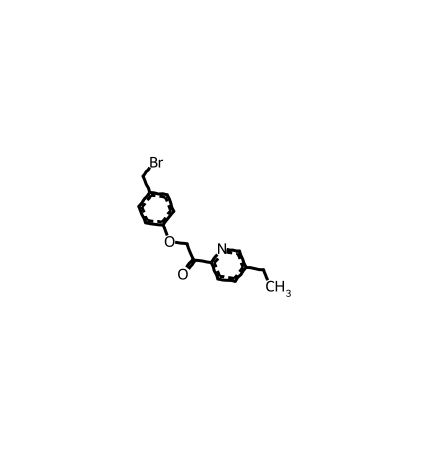 CCc1ccc(C(=O)COc2ccc(CBr)cc2)nc1